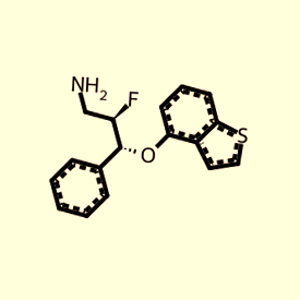 NC[C@@H](F)[C@H](Oc1cccc2sccc12)c1ccccc1